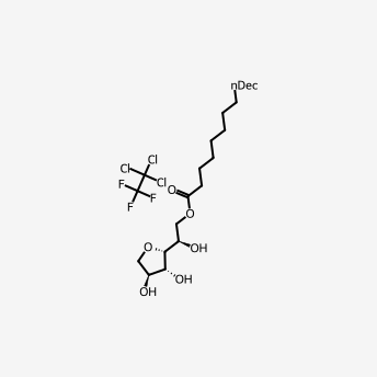 CCCCCCCCCCCCCCCCCC(=O)OC[C@@H](O)[C@H]1OC[C@H](O)[C@H]1O.FC(F)(F)C(Cl)(Cl)Cl